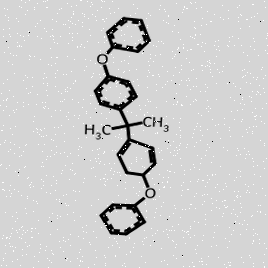 CC(C)(C1=CCC(Oc2ccccc2)C=C1)c1ccc(Oc2ccccc2)cc1